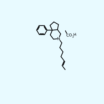 C/C=C/CCCCN1CCC2(c3ccccc3)CCCC2C1.CC(=O)O